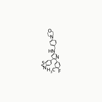 Cc1cc(-c2ncc(NCc3ccc(N4CCOCC4)cc3)cc2-c2ccc3ncsc3c2)ccc1F